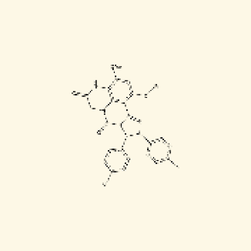 COc1cc(OC(C)C)c2c3c1NC(=O)CN3C(=O)N1C2=NC(c2ccc(C)cc2)C1c1ccc(Cl)cc1